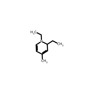 CCC1C=C(C)C=CN1CC